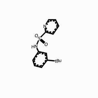 CC(C)(C)c1cccc(NS(=O)(=O)c2ccccn2)c1